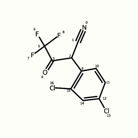 N#CC(C(=O)C(F)(F)F)c1ccc(Cl)cc1Cl